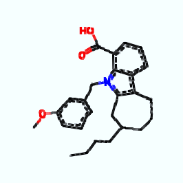 CCCCC1CCCc2c(n(Cc3cccc(OC)c3)c3c(C(=O)O)cccc23)C1